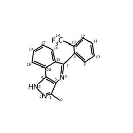 Cc1n[nH]c2c1nc(-c1ccccc1C(F)(F)F)c1ccccc12